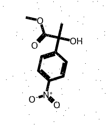 COC(=O)C(C)(O)c1ccc([N+](=O)[O-])cc1